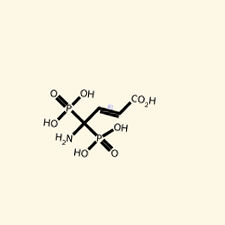 NC(/C=C/C(=O)O)(P(=O)(O)O)P(=O)(O)O